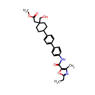 CCc1nc(C)c(C(=O)Nc2ccc(-c3ccc(C4CCC(CO)(CC(=O)OC)CC4)cc3)cc2)o1